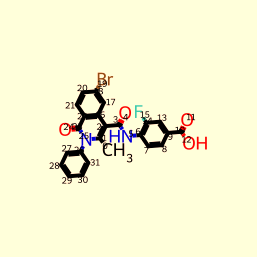 Cc1c(C(=O)Nc2ccc(C(=O)O)cc2F)c2cc(Br)ccc2c(=O)n1-c1ccccc1